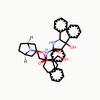 O=C(N[C@@H](c1ccccc1)C(O)(c1ccccc1)c1ccccc1)NC1(CCN2[C@@H]3CC[C@H]2CC(OC(=O)C(CO)c2ccccc2)C3)CCCCC1